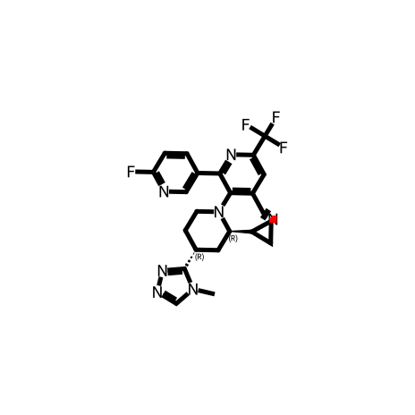 Cn1cnnc1[C@@H]1CCN(c2c(C#N)cc(C(F)(F)F)nc2-c2ccc(F)nc2)[C@@H](C2CC2)C1